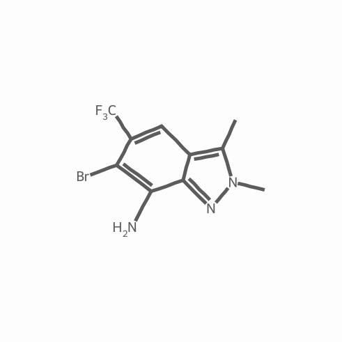 Cc1c2cc(C(F)(F)F)c(Br)c(N)c2nn1C